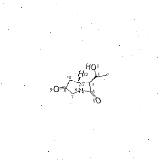 CC(O)[C@H]1C(=O)N2CC(=O)C[C@H]12